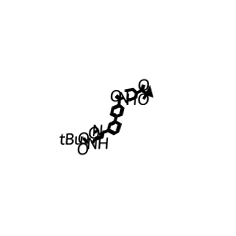 CC(C)(C)OC(=O)Nc1cc(-c2cccc(-c3ccc(C(=O)N4CCC(C(=O)C5(O)CC5)CC4)cc3)c2)no1